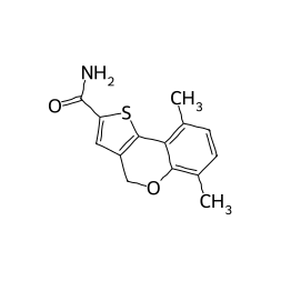 Cc1ccc(C)c2c1OCc1cc(C(N)=O)sc1-2